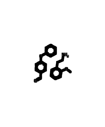 COc1ccccc1CCN.O=Cc1ccc(Oc2ccccc2)cc1